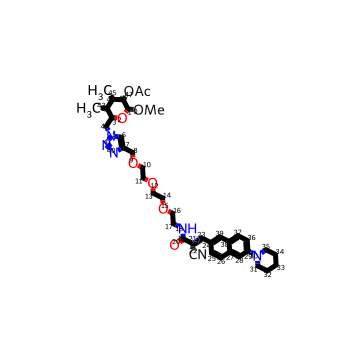 COC1OC(Cn2cc(COCCOCCOCCNC(=O)/C(C#N)=C/c3ccc4cc(N5CCCCC5)ccc4c3)nn2)C(C)C(C)C1OC(C)=O